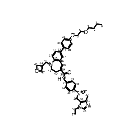 CCCCOCCOc1ccc(-c2ccc3c(c2)C=C(C(=O)Nc2ccc([S+]([O-])Cc4c(C)ncn4CC)cc2)CCN3CC2COC2)cc1